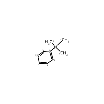 C[N+](C)(C)c1cccnc1